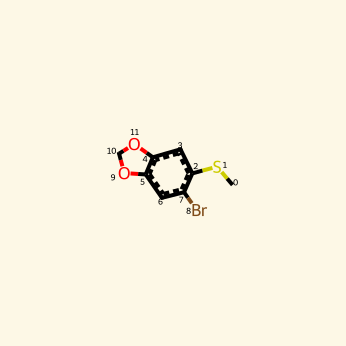 CSc1cc2c(cc1Br)OCO2